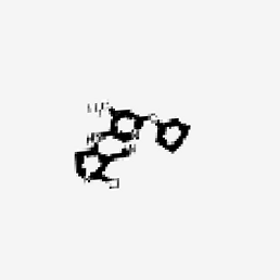 Cc1cc(Oc2ccccc2)ncc1Nc1ccnc(Cl)c1C#N